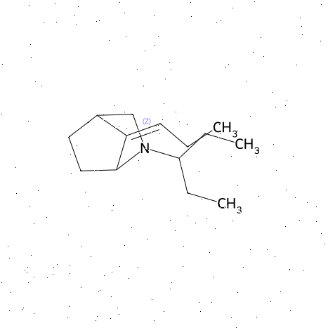 CC/C=C1/C2CCC1N(C(CC)CC)C2